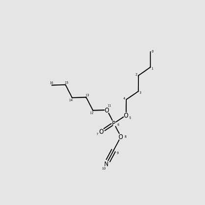 CCCCCOP(=O)(OC#N)OCCCCC